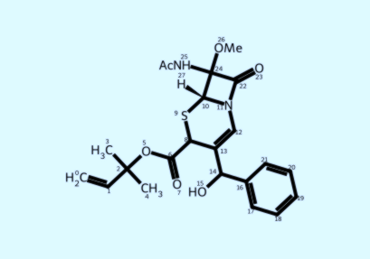 C=CC(C)(C)OC(=O)C1S[C@H]2N(C=C1C(O)c1ccccc1)C(=O)C2(NC(C)=O)OC